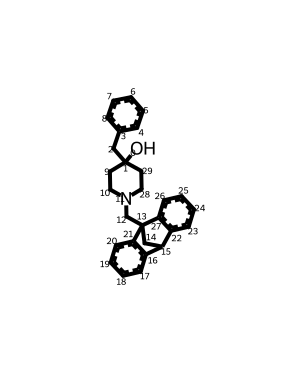 OC1(Cc2ccccc2)CCN(CC23CC(c4ccccc42)c2ccccc23)CC1